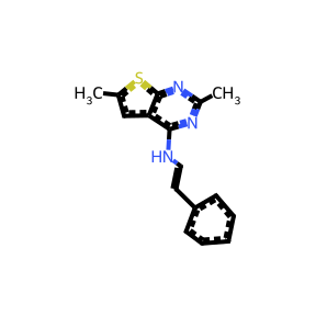 Cc1nc(NC=Cc2ccccc2)c2cc(C)sc2n1